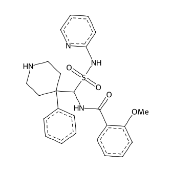 COc1ccccc1C(=O)NC(C1(c2ccccc2)CCNCC1)S(=O)(=O)Nc1ccccn1